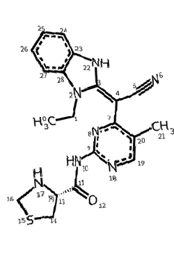 CCN1C(=C(C#N)c2nc(NC(=O)[C@@H]3CSCN3)ncc2C)Nc2ccccc21